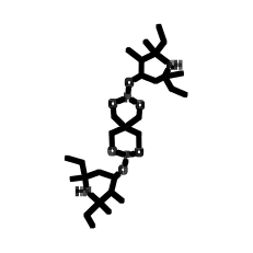 CCC1(C)CC(OP2OCC3(CO2)COP(OC2CC(C)(CC)NC(C)(CC)C2C)OC3)C(C)C(C)(CC)N1